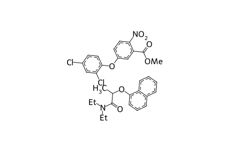 CCN(CC)C(=O)C(C)Oc1cccc2ccccc12.COC(=O)c1cc(Oc2ccc(Cl)cc2Cl)ccc1[N+](=O)[O-]